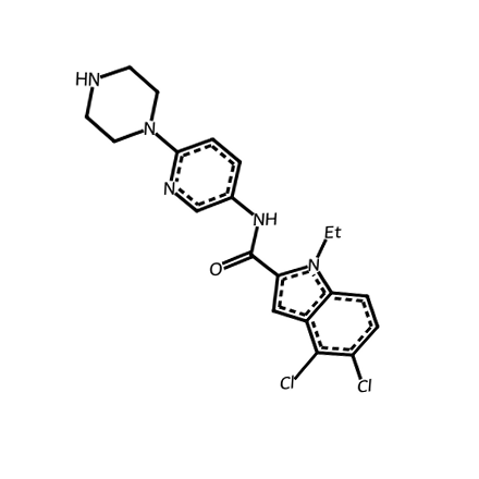 CCn1c(C(=O)Nc2ccc(N3CCNCC3)nc2)cc2c(Cl)c(Cl)ccc21